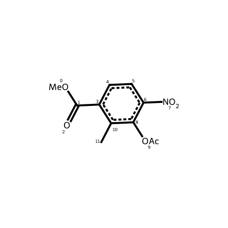 COC(=O)c1ccc([N+](=O)[O-])c(OC(C)=O)c1C